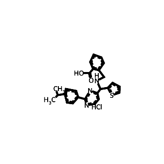 CC(C)c1ccc(-c2nccc(C(NCc3ccccc3C(=O)O)c3cccs3)n2)cc1.Cl